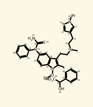 CCOn1c(C)c(CCN(C)CCc2cnn(C(C)C)c2)c2cc(N(C(N)=S)c3ccccc3)ccc21.O=C(O)C(O)c1ccccc1